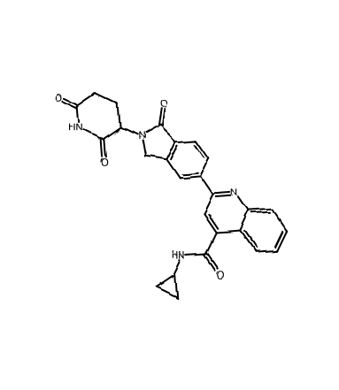 O=C1CCC(N2Cc3cc(-c4cc(C(=O)NC5CC5)c5ccccc5n4)ccc3C2=O)C(=O)N1